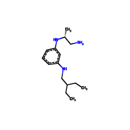 CCC(CC)CNc1cccc(N[C@H](C)CN)c1